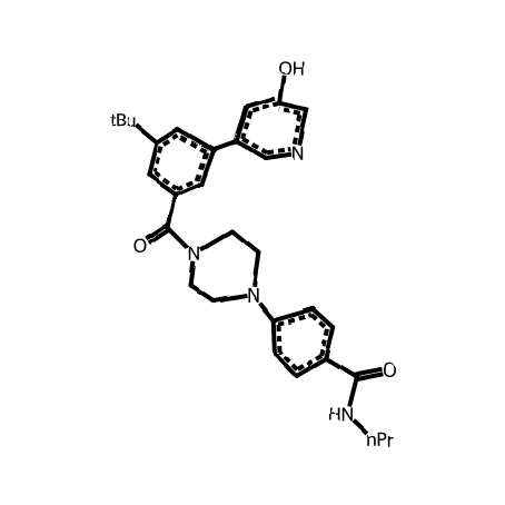 CCCNC(=O)c1ccc(N2CCN(C(=O)c3cc(-c4cncc(O)c4)cc(C(C)(C)C)c3)CC2)cc1